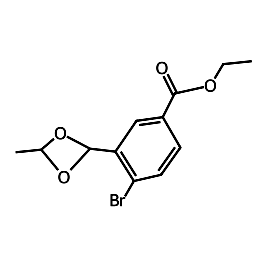 CCOC(=O)c1ccc(Br)c(C2OC(C)O2)c1